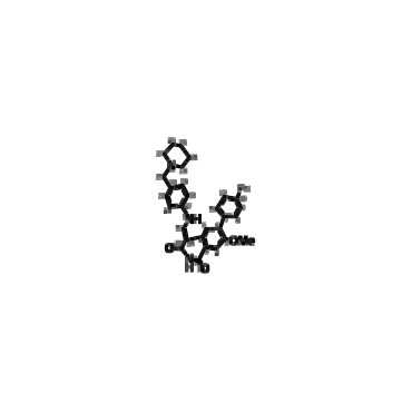 COc1cc2c(cc1-c1ccc(F)cc1)/C(=C\Nc1ccc(CN3CCCCC3)cc1)C(=O)NC2=O